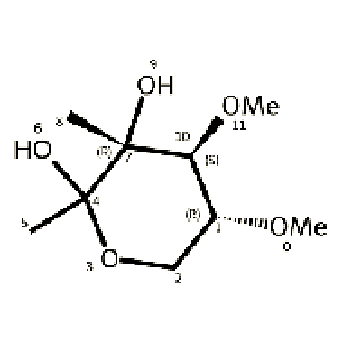 CO[C@@H]1COC(C)(O)[C@](C)(O)[C@H]1OC